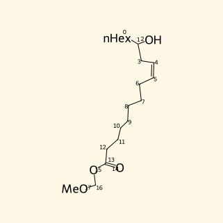 CCCCCCC(O)C/C=C\CCCCCCCC(=O)OCOC